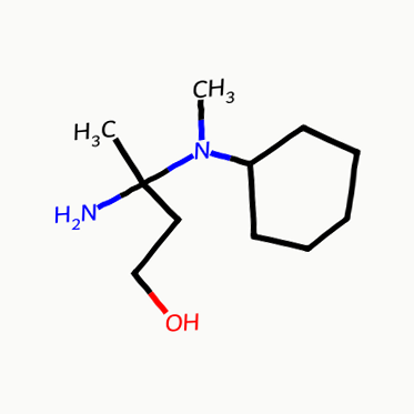 CN(C1CCCCC1)C(C)(N)CCO